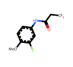 COc1ccc(NC(=O)CC(F)(F)F)cc1F